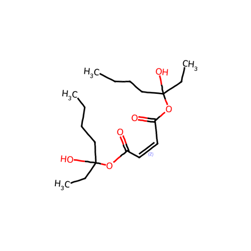 CCCCC(O)(CC)OC(=O)/C=C\C(=O)OC(O)(CC)CCCC